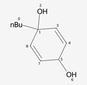 CCCCC1(O)C=CC(O)C=C1